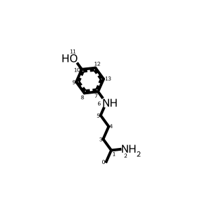 CC(N)CCCNc1ccc(O)cc1